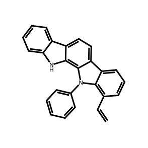 C=Cc1cccc2c3ccc4c5ccccc5[nH]c4c3n(-c3ccccc3)c12